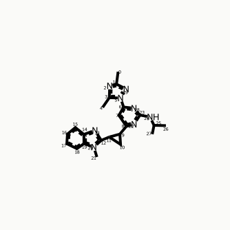 Cc1nc(C)n(-c2cc(C3CC3c3nc4ccccc4n3C)nc(NC(C)C)n2)n1